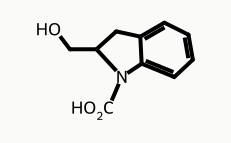 O=C(O)N1c2ccccc2CC1CO